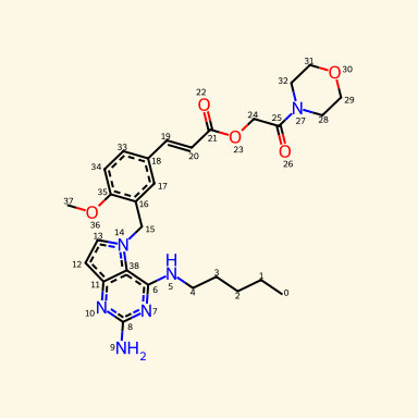 CCCCCNc1nc(N)nc2ccn(Cc3cc(C=CC(=O)OCC(=O)N4CCOCC4)ccc3OC)c12